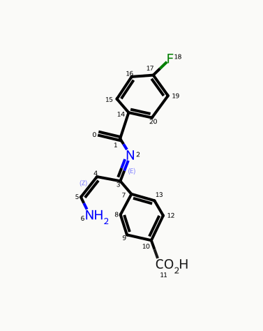 C=C(/N=C(\C=C/N)c1ccc(C(=O)O)cc1)c1ccc(F)cc1